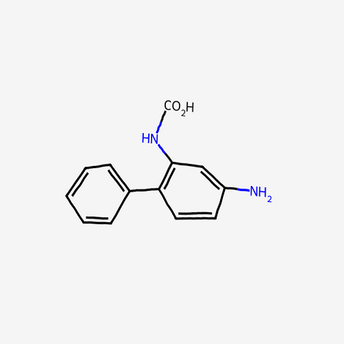 Nc1ccc(-c2ccccc2)c(NC(=O)O)c1